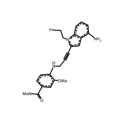 CNC(=O)c1ccc(NCC#Cc2cc3c(N)cccc3n2CCF)c(OC)c1